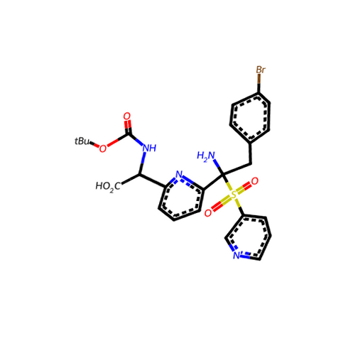 CC(C)(C)OC(=O)NC(C(=O)O)c1cccc(C(N)(Cc2ccc(Br)cc2)S(=O)(=O)c2cccnc2)n1